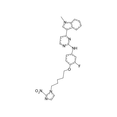 Cn1cc(-c2ccnc(Nc3ccc(OCCCCCn4ccnc4[N+](=O)[O-])c(F)c3)n2)c2ccccc21